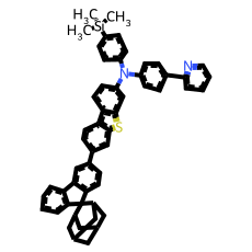 C[Si](C)(C)c1ccc(N(c2ccc(-c3ccccn3)cc2)c2ccc3c(c2)sc2cc(-c4ccc5c(c4)-c4ccccc4C54C5CC6CC(C5)CC4C6)ccc23)cc1